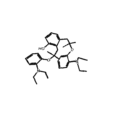 CCN(CC)c1ccccc1OC(C)(C)Cc1cccc(O)c1CC(C)(C)Oc1ccccc1N(CC)CC